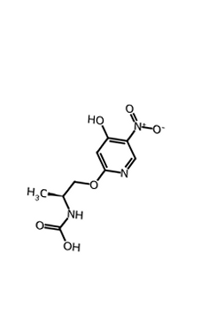 C[C@@H](COc1cc(O)c([N+](=O)[O-])cn1)NC(=O)O